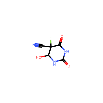 N#CC1(F)C(=O)NC(=O)NC1O